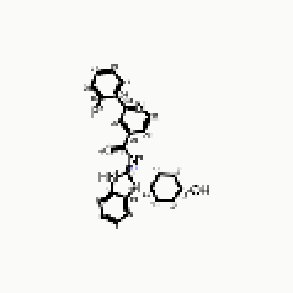 O=C(/N=c1\[nH]c2ccccc2n1[C@H]1CC[C@@H](O)CC1)c1ccnc(-c2ccccc2F)c1